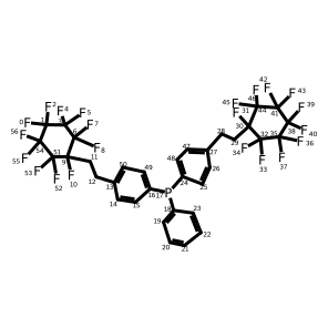 FC1(F)C(F)(F)C(F)(F)C(F)(CCc2ccc(P(c3ccccc3)c3ccc(CCC4(F)C(F)(F)C(F)(F)C(F)(F)C(F)(F)C4(F)F)cc3)cc2)C(F)(F)C1(F)F